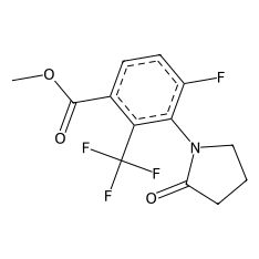 COC(=O)c1ccc(F)c(N2CCCC2=O)c1C(F)(F)F